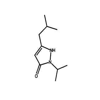 CC(C)Cc1cc(=O)n(C(C)C)[nH]1